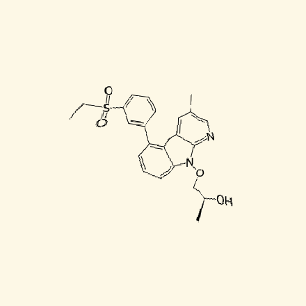 CCS(=O)(=O)c1cccc(-c2cccc3c2c2cc(C)cnc2n3OC[C@H](C)O)c1